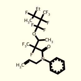 C=CCN(C(=O)C(F)(C(C)OC(F)(F)C(F)(C(F)(F)F)C(C)(F)CC)C(F)(F)F)c1ccccc1